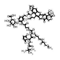 CCCCc1c2c(nc3cc4c(c(NC(=O)OCc5ccc(O[C@@H]6O[C@H](C(=O)O)[C@@H](O)[C@H](O)[C@H]6O)c(NC(=O)CCNC(=O)[C@H](CCCCNC(=O)CCOC)NC(=O)[C@@H](CNC(=O)OC(C)(C)C)N6C(=O)C=CC6=O)c5)c13)OCO4)-c1cc3c(c(=O)n1C2)COC(=O)[C@]3(O)CC